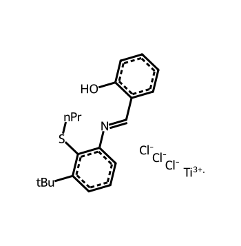 CCCSc1c(N=Cc2ccccc2O)cccc1C(C)(C)C.[Cl-].[Cl-].[Cl-].[Ti+3]